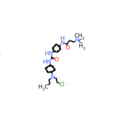 CCCN(CCCl)c1ccc(NC(=O)Nc2ccc(NC(=O)CCN(C)C)cc2)cc1